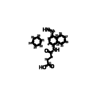 N=Nc1ccc(NC(=O)CCC(=O)O)c2ccccc12.c1ccccc1